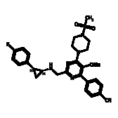 COc1c(-c2ccc(C#N)cc2)nc(CN[C@@H]2C[C@H]2c2ccc(F)cc2)nc1N1CCN(S(C)(=O)=O)CC1